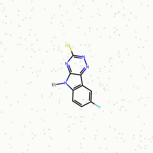 CCn1c2ccc(F)cc2c2nnc(S)nc21